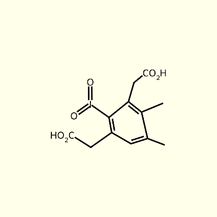 Cc1cc(CC(=O)O)c(I(=O)=O)c(CC(=O)O)c1C